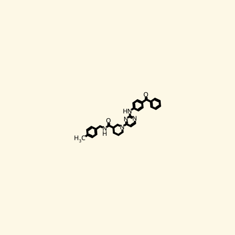 Cc1ccc(CNC(=O)C2CCCN(c3ccnc(Nc4ccc(C(=O)c5ccccc5)cc4)n3)C2)cc1